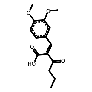 CCCC(=O)C(=Cc1ccc(OC)c(OC)c1)C(=O)O